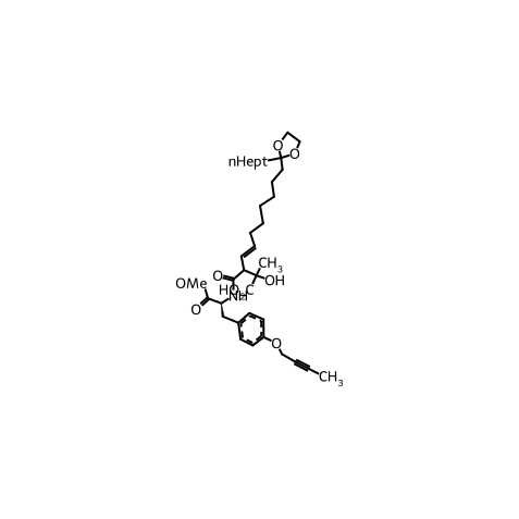 CC#CCOc1ccc(C[C@H](NC(=O)C(C=CCCCCCCC2(CCCCCCC)OCCO2)C(C)(O)C(=O)O)C(=O)OC)cc1